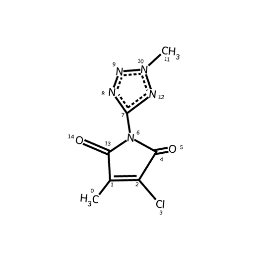 CC1=C(Cl)C(=O)N(c2nnn(C)n2)C1=O